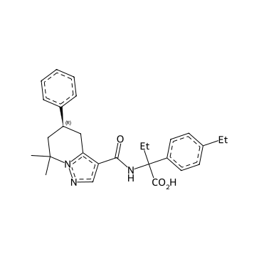 CCc1ccc(C(CC)(NC(=O)c2cnn3c2C[C@H](c2ccccc2)CC3(C)C)C(=O)O)cc1